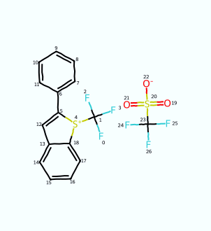 FC(F)(F)[s+]1c(-c2ccccc2)cc2ccccc21.O=S(=O)([O-])C(F)(F)F